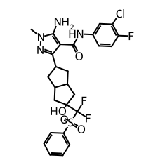 Cn1nc(C2CC3CC(O)(C(F)(F)S(=O)(=O)c4ccccc4)CC3C2)c(C(=O)Nc2ccc(F)c(Cl)c2)c1N